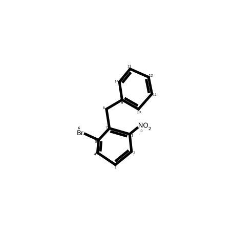 O=[N+]([O-])c1cccc(Br)c1Cc1ccccc1